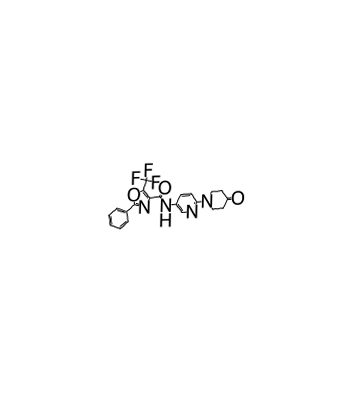 O=C1CCN(c2ccc(NC(=O)c3nc(-c4ccccc4)oc3C(F)(F)F)cn2)CC1